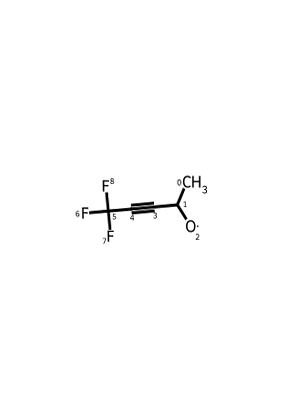 CC([O])C#CC(F)(F)F